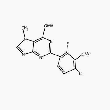 COc1c(Cl)ccc(-c2nc(OC)c3c(ncn3C)n2)c1F